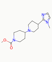 COC(=O)N1CCC(N2CCC(c3nccn3C)CC2)CC1